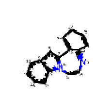 C1=CC2=NC=Cn3c(cc4ccccc43)C2=CC1